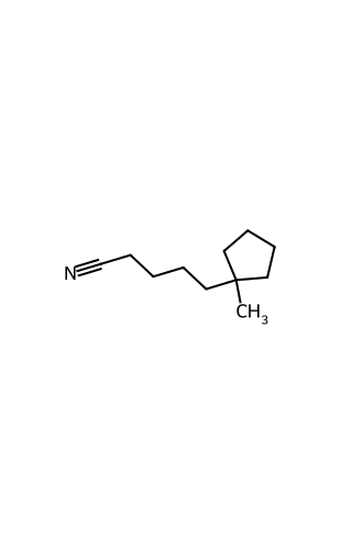 CC1(CCCCC#N)CCCC1